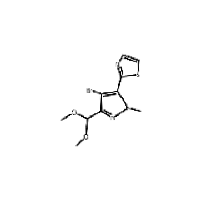 COC(OC)c1nn(C)c(-c2nccs2)c1Br